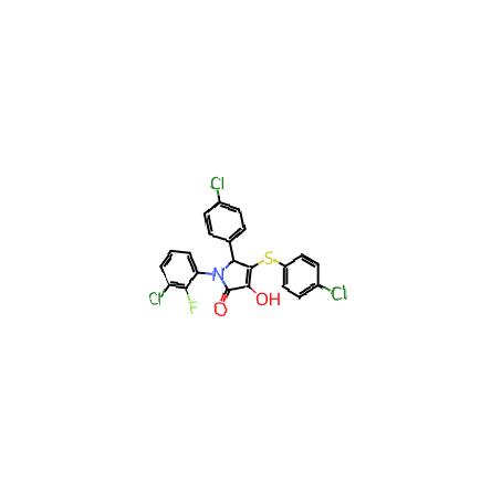 O=C1C(O)=C(Sc2ccc(Cl)cc2)C(c2ccc(Cl)cc2)N1c1cccc(Cl)c1F